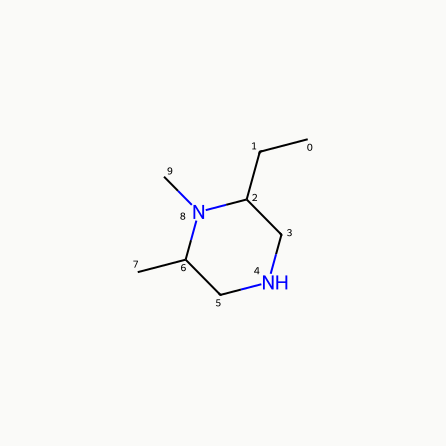 CCC1CNCC(C)N1C